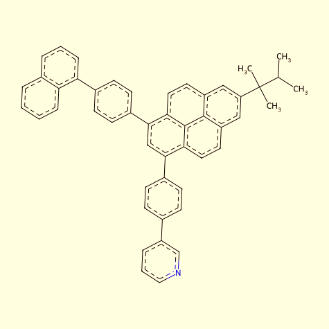 CC(C)C(C)(C)c1cc2ccc3c(-c4ccc(-c5cccnc5)cc4)cc(-c4ccc(-c5cccc6ccccc56)cc4)c4ccc(c1)c2c34